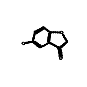 [O]c1ccc2c(c1)C(=O)CO2